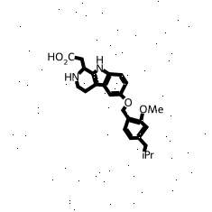 COc1cc(CC(C)C)ccc1COc1ccc2[nH]c3c(c2c1)CCNC3CC(=O)O